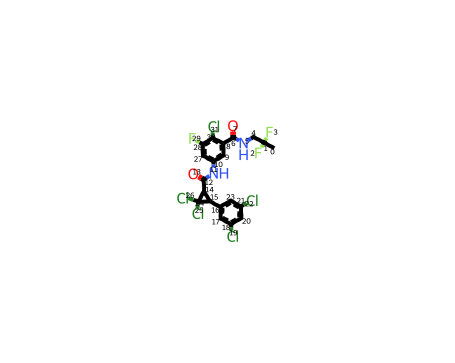 CC(F)(F)CNC(=O)c1cc(NC(=O)C2C(c3cc(Cl)cc(Cl)c3)C2(Cl)Cl)cc(F)c1Cl